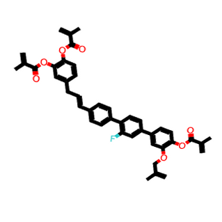 C=C(C)COc1cc(-c2ccc(-c3ccc(/C=C/Cc4ccc(OC(=O)C(=C)C)c(OC(=O)C(=C)C)c4)cc3)c(F)c2)ccc1OC(=O)C(=C)C